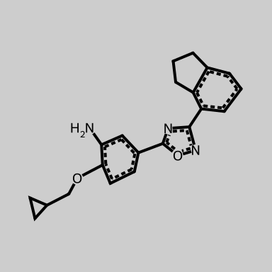 Nc1cc(-c2nc(-c3cccc4c3CCC4)no2)ccc1OCC1CC1